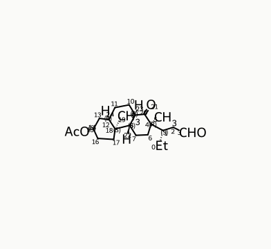 CC[C@@H](CC=O)[C@@]1(C)CC[C@H]2[C@@H](CC[C@@H]3C[C@@H](OC(C)=O)CC[C@@]32C)C1=O